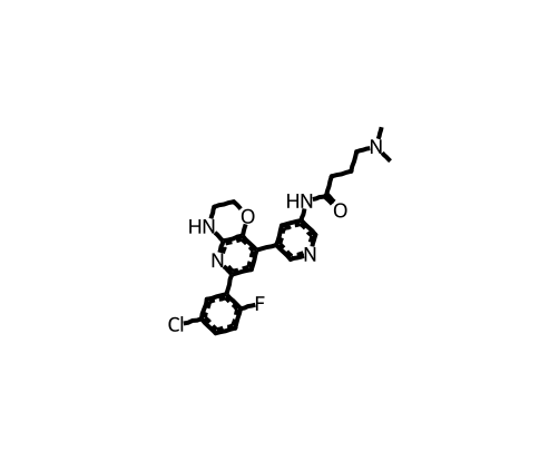 CN(C)CCCC(=O)Nc1cncc(-c2cc(-c3cc(Cl)ccc3F)nc3c2OCCN3)c1